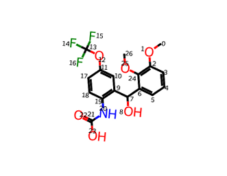 COc1cccc(C(O)c2cc(OC(F)(F)F)ccc2NC(=O)O)c1OC